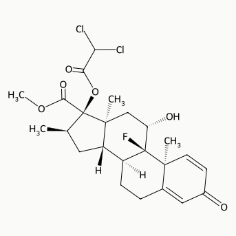 COC(=O)[C@@]1(OC(=O)C(Cl)Cl)[C@H](C)C[C@H]2[C@@H]3CCC4=CC(=O)C=C[C@]4(C)[C@@]3(F)[C@@H](O)C[C@@]21C